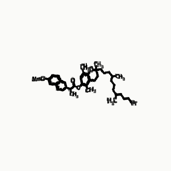 COc1ccc2cc([C@H](C)C(=O)Oc3cc(C)c4c(c3C)CCC(C)(CCCC(C)CCCC(C)CCCC(C)C)O4)ccc2c1